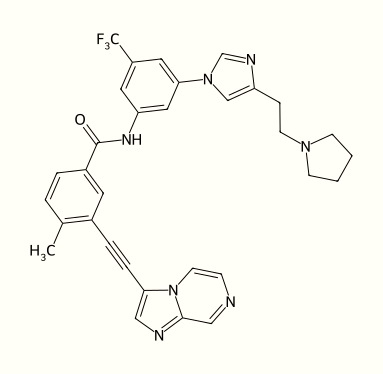 Cc1ccc(C(=O)Nc2cc(-n3cnc(CCN4CCCC4)c3)cc(C(F)(F)F)c2)cc1C#Cc1cnc2cnccn12